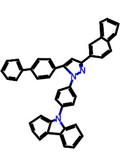 c1ccc(-c2ccc(-c3cc(-c4ccc5ccccc5c4)nn3-c3ccc(-n4c5ccccc5c5ccccc54)cc3)cc2)cc1